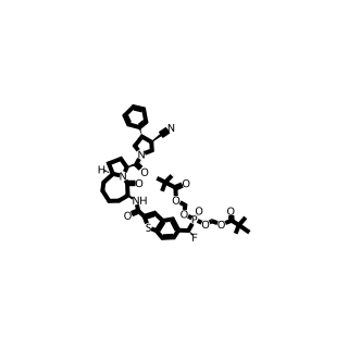 CC(C)(C)C(=O)OCOP(=O)(OCOC(=O)C(C)(C)C)[C@H](F)c1ccc2sc(C(=O)N[C@H]3CCCC[C@H]4CC[C@@H](C(=O)N5C[C@H](c6ccccc6)[C@@H](C#N)C5)N4C3=O)cc2c1